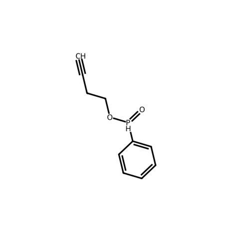 C#CCCO[PH](=O)c1ccccc1